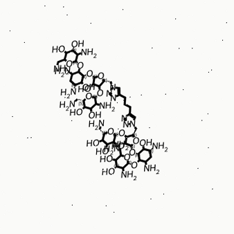 NCC1O[C@H](OC2C(N)C[C@@H](N)C(O)[C@H]2O[C@@H]2O[C@H](Cn3cc(CCCc4cn(C[C@H]5O[C@@H](O[C@H]6C(O[C@H]7OC(CN)C(O)[C@H](O)C7N)C(N)C[C@@H](N)C6O)C(O)C5O[C@H]5O[C@@H](CN)C(O)C(O)C5N)nn4)nn3)C(O[C@H]3O[C@@H](CN)C(O)C(O)C3N)C2O)C(N)[C@@H](O)C1O